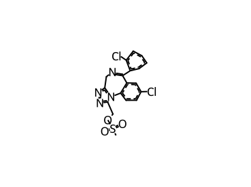 CS(=O)(=O)OCc1nnc2n1-c1ccc(Cl)cc1C(c1ccccc1Cl)=NC2